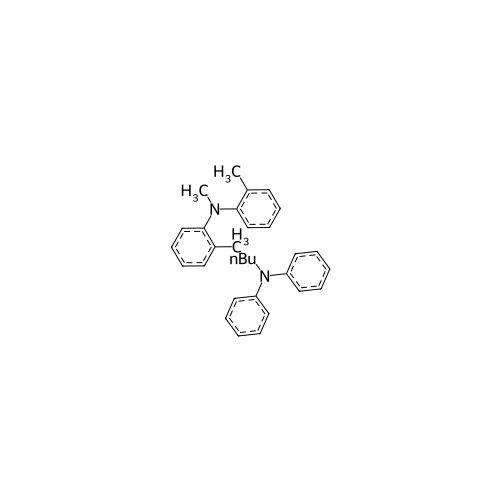 CCCCN(c1ccccc1)c1ccccc1.Cc1ccccc1N(C)c1ccccc1C